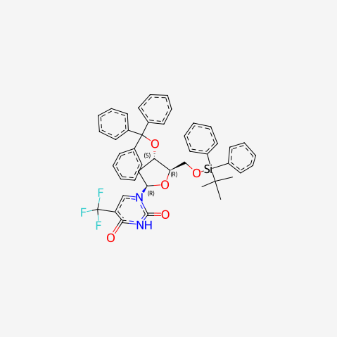 CC(C)(C)[Si](OC[C@H]1O[C@@H](n2cc(C(F)(F)F)c(=O)[nH]c2=O)C[C@@H]1OC(c1ccccc1)(c1ccccc1)c1ccccc1)(c1ccccc1)c1ccccc1